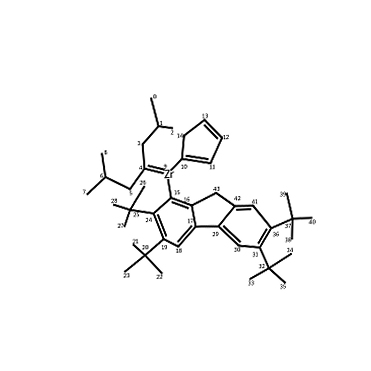 CC(C)C[C](CC(C)C)=[Zr]([C]1=CC=CC1)[c]1c2c(cc(C(C)(C)C)c1C(C)(C)C)-c1cc(C(C)(C)C)c(C(C)(C)C)cc1C2